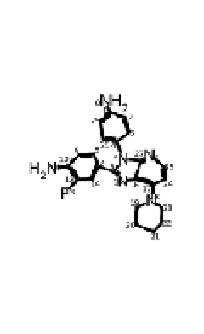 Nc1ccc(-n2c(-c3ccc(N)c(F)c3)nc3c(N4CCCCC4)ccnc32)cc1